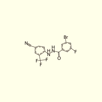 N#Cc1ccc(NNC(=O)c2cc(F)cc(Br)c2)c(C(F)(F)F)c1